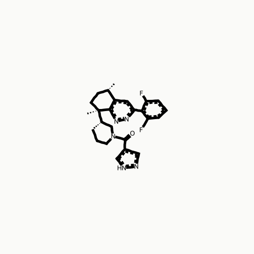 C[C@H]1CC[C@](C)([C@H]2CCCN(C(=O)c3cn[nH]c3)C2)c2nnc(-c3c(F)cccc3F)cc21